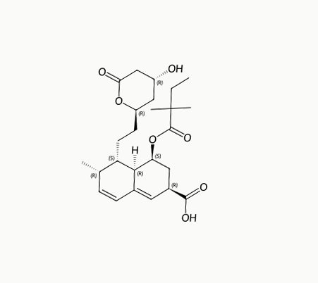 CCC(C)(C)C(=O)O[C@H]1C[C@@H](C(=O)O)C=C2C=C[C@H](C)[C@H](CC[C@@H]3C[C@@H](O)CC(=O)O3)[C@H]21